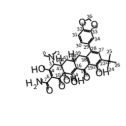 CN(C)[C@@H]1C(O)=C(C(N)=O)C(=O)[C@@]2(O)C(O)=C3C(=O)c4c(O)c(C(C)(C)C)cc(-c5ccc6c(c5)OCO6)c4C[C@H]3C[C@@H]12